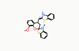 COc1cccc2c1OC1(CC2/C=C2\Sc3ccccc3N2C)Sc2ccccc2N1C